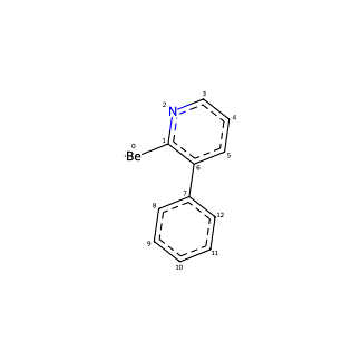 [Be][c]1ncccc1-c1ccccc1